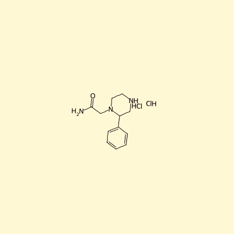 Cl.Cl.NC(=O)CN1CCNCC1c1ccccc1